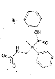 Brc1ccccc1.CC(CN[SH](=O)=O)(C(=O)O)c1ccccc1